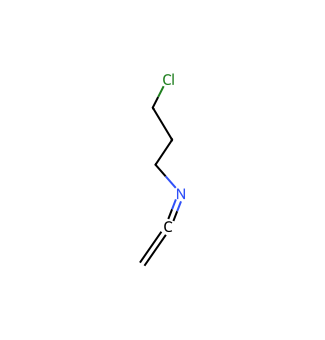 C=C=NCCCCl